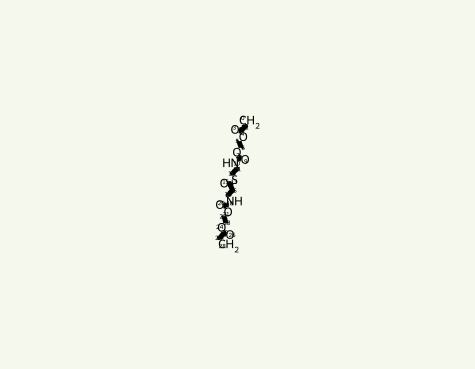 C=CC(=O)OCCOC(=O)NCCSC(=O)CCNC(=O)OCCOC(=O)C=C